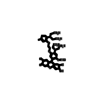 Cc1ccc(N(CC(=O)O)CC(=O)O)c(OCCOc2cc(-c3c4cc(Cl)c(=O)cc-4oc4cc(O)c(Cl)cc34)c(OC=O)cc2N(CC(=O)O)CC(=O)O)c1